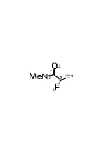 [CH2]NC(=O)C(F)F